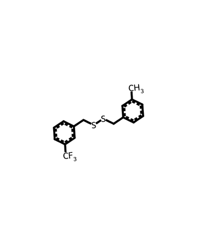 Cc1cccc(CSSCc2cccc(C(F)(F)F)c2)c1